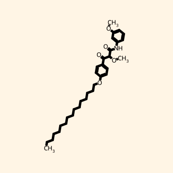 CCCCCCCCCCCCCCCCOc1ccc(C(=O)C(OC)C(=O)Nc2cccc(OC)c2)cc1